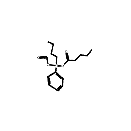 CCCCC(=O)O[Si](CCCC)(OC=O)c1ccccc1